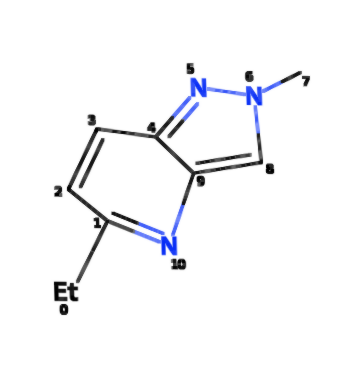 CCc1ccc2nn(C)cc2n1